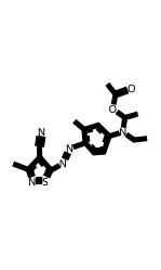 CCN(c1ccc(/N=N/c2snc(C)c2C#N)c(C)c1)C(C)OC(C)=O